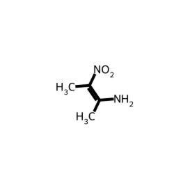 C/C(N)=C(\C)[N+](=O)[O-]